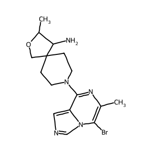 Cc1nc(N2CCC3(CC2)COC(C)C3N)c2cncn2c1Br